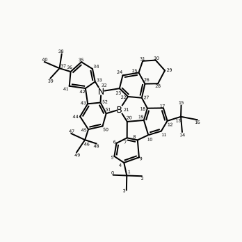 CC(C)(C)c1ccc2c(c1)-c1cc(C(C)(C)C)cc3c1C2B1c2c(cc4c(c2-3)CCCC4)-n2c3ccc(C(C)(C)C)cc3c3cc(C(C)(C)C)cc1c32